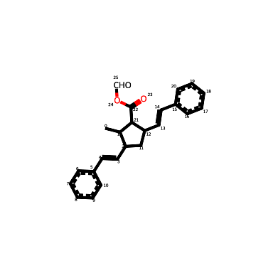 CC1C(/C=C/c2ccccc2)CC(/C=C/c2ccccc2)C1C(=O)OC=O